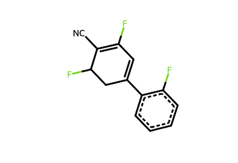 N#CC1=C(F)C=C(c2ccccc2F)CC1F